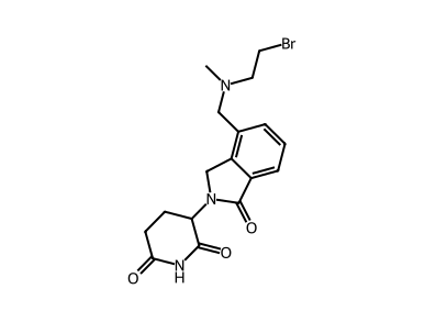 CN(CCBr)Cc1cccc2c1CN(C1CCC(=O)NC1=O)C2=O